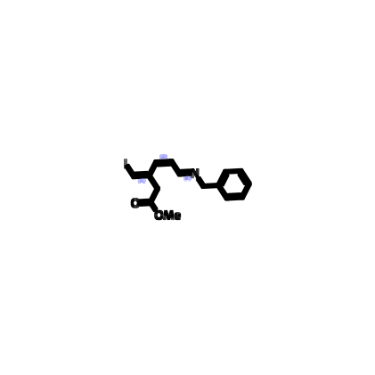 COC(=O)CC(/C=C\C=N\Cc1ccccc1)=C/I